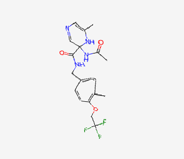 CC(=O)NC1(C(=O)NCc2ccc(OCC(F)(F)F)c(C)c2)C=NC=C(C)N1